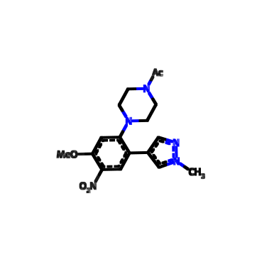 COc1cc(N2CCN(C(C)=O)CC2)c(-c2cnn(C)c2)cc1[N+](=O)[O-]